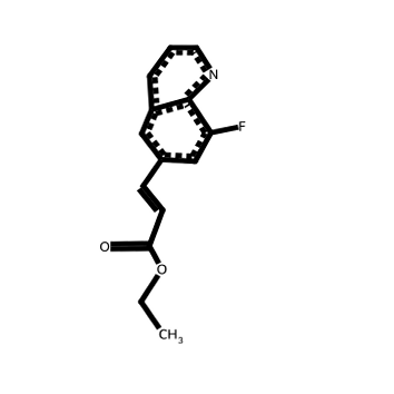 CCOC(=O)/C=C/c1cc(F)c2ncccc2c1